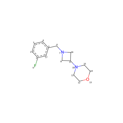 Fc1[c]ccc(CN2CC(N3CCOCC3)C2)c1